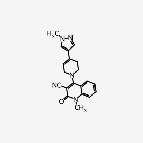 Cn1cc(C2=CCN(c3c(C#N)c(=O)n(C)c4ccccc34)CC2)cn1